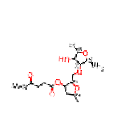 B[C@@H]1O[C@H](CC)C(O)[C@@H]1OC[C@H]1O[C@@H](C)CC1OC(=O)CCC(=O)NC